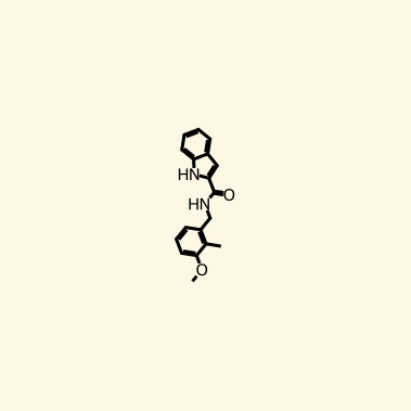 COc1cccc(CNC(=O)c2cc3ccccc3[nH]2)c1C